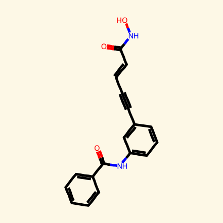 O=C(C=CC#Cc1cccc(NC(=O)c2ccccc2)c1)NO